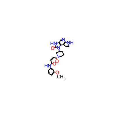 COc1cccc(NC(=O)/C=C\C(=O)N2CCCC(n3c(=O)[nH]c4cnc5[nH]ccc5c43)C2)c1